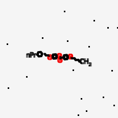 C=CCCCCOc1ccc(C(=O)Oc2ccc(OCCC[C@H]3CC[C@H](CCC)CC3)cc2)cc1